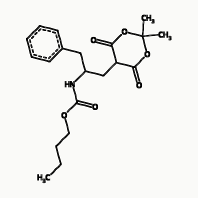 CCCCOC(=O)NC(Cc1ccccc1)CC1C(=O)OC(C)(C)OC1=O